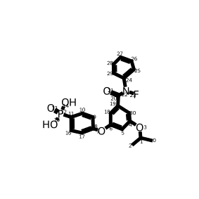 CC(C)Oc1cc(Oc2ccc(P(=O)(O)O)cc2)cc(C(=O)N(F)c2ccccc2)c1